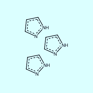 c1cn[nH]c1.c1cn[nH]c1.c1cn[nH]c1